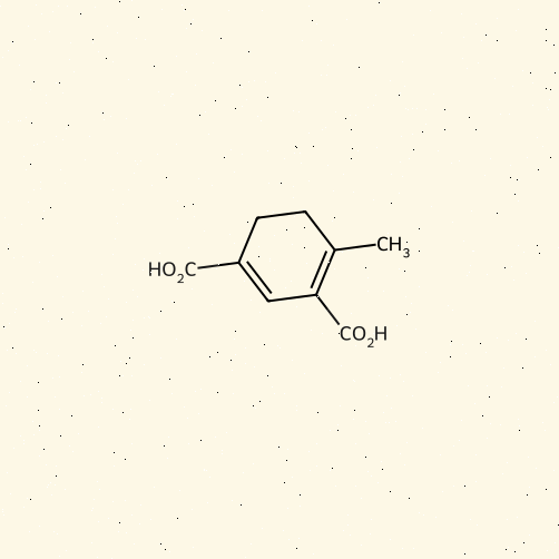 CC1=C(C(=O)O)C=C(C(=O)O)CC1